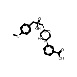 COc1ccc(CP(=O)(O)C[C@H]2CN[C@H](c3cccc(C(=O)O)c3)CO2)cc1